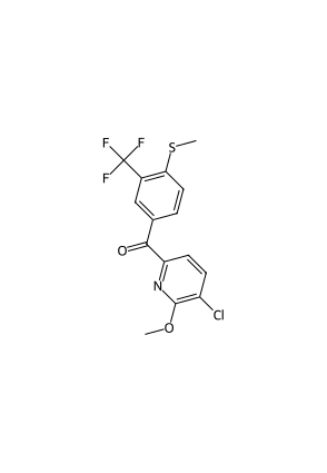 COc1nc(C(=O)c2ccc(SC)c(C(F)(F)F)c2)ccc1Cl